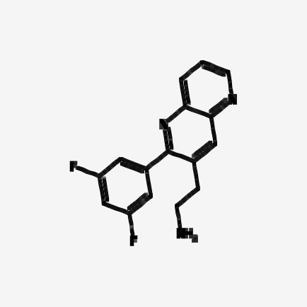 NCCc1cc2ncccc2nc1-c1cc(F)cc(F)c1